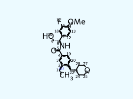 C/C=c1/cc(C(=O)N[C@H](CO)c2ccc(OC)c(F)c2)ccc1=CC1CCOCC1